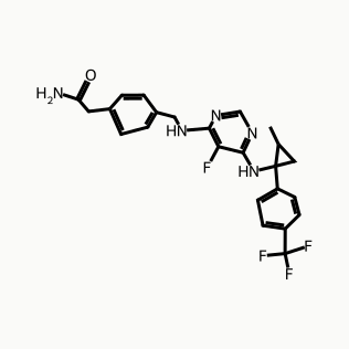 CC1CC1(Nc1ncnc(NCc2ccc(CC(N)=O)cc2)c1F)c1ccc(C(F)(F)F)cc1